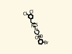 O=S(=O)(c1cccc(Br)c1)C1CCN(c2nc(Cc3ccc(Cl)c(Cl)c3)cs2)CC1